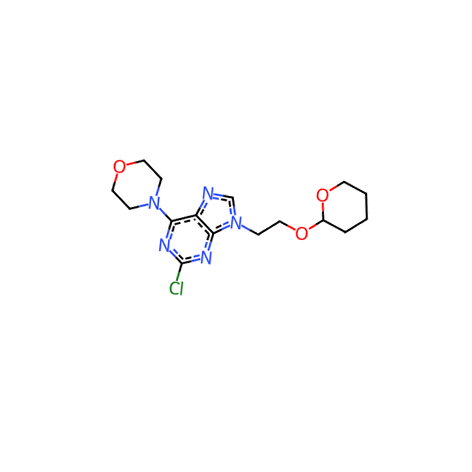 Clc1nc(N2CCOCC2)c2ncn(CCOC3CCCCO3)c2n1